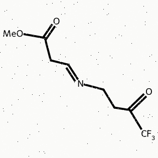 COC(=O)CC=NCCC(=O)C(F)(F)F